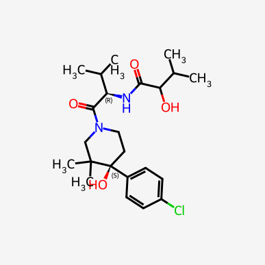 CC(C)C(O)C(=O)N[C@@H](C(=O)N1CC[C@](O)(c2ccc(Cl)cc2)C(C)(C)C1)C(C)C